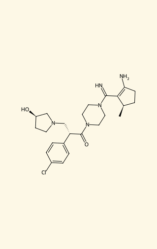 C[C@@H]1CCC(N)=C1C(=N)N1CCN(C(=O)[C@@H](CN2CC[C@@H](O)C2)c2ccc(Cl)cc2)CC1